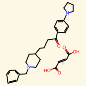 O=C(CCCC1CCN(Cc2ccccc2)CC1)c1ccc(N2CCCC2)cc1.O=C(O)/C=C/C(=O)O